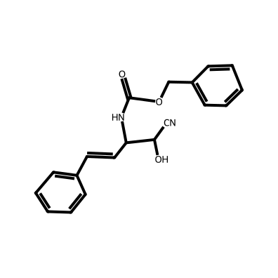 N#CC(O)C(C=Cc1ccccc1)NC(=O)OCc1ccccc1